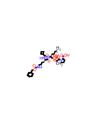 CCCC[C@@H](CP(=O)(O)O[C@@H](C)C(=O)N1CCC[C@H]1C(=O)O)NC(=O)[C@H](CCCCNC(=O)OCc1ccccc1)NC(=O)C1CCC1